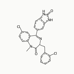 CN1C(=O)C(Cc2ccccc2Cl)N=C(c2ccc3[nH]c(=O)[nH]c3c2)c2cc(Cl)ccc21